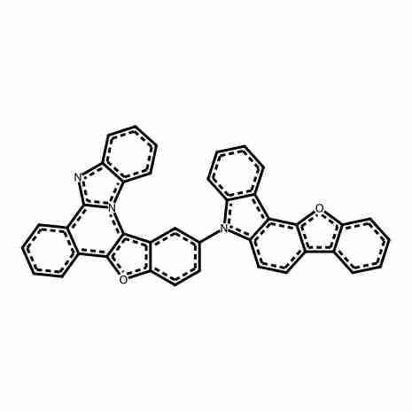 c1ccc2c(c1)nc1c3ccccc3c3oc4ccc(-n5c6ccccc6c6c7oc8ccccc8c7ccc65)cc4c3n21